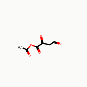 CC(=O)OC(=O)C(=O)CC=O